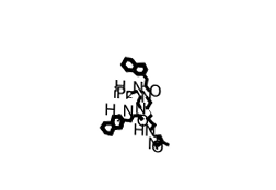 Cc1cc(NCCC[C@H]2CN(C(=O)[C@H](N)Cc3ccc4ccccc4c3)[C@H](CC(C)C)CN2C(=O)C(N)Cc2ccc3ccccc3c2)no1